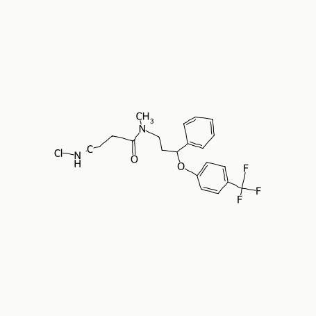 CN(CCC(Oc1ccc(C(F)(F)F)cc1)c1ccccc1)C(=O)CCCNCl